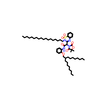 CCCCCCCCCCCCCCCCCCN1C(C(C(=O)Nc2ccccc2OCC(CCCCCCCC)CCCCCCCC)N2C(=O)OC(C)(C)C2=O)=Nc2ccccc2S1(=O)=O